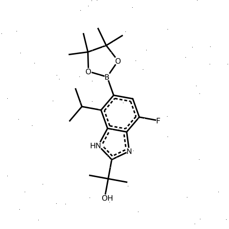 CC(C)c1c(B2OC(C)(C)C(C)(C)O2)cc(F)c2nc(C(C)(C)O)[nH]c12